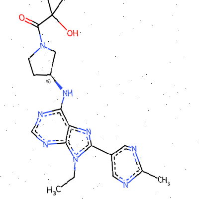 CCn1c(-c2cnc(C)nc2)nc2c(N[C@H]3CCN(C(=O)C4(O)CC4)C3)ncnc21